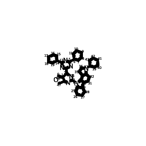 C1=C2C(c3nc(-c4ccccc4)nc(-c4ccccc4)n3)=NC(n3c4ccccc4c4ccc5c(ccn5-c5ccccc5)c43)=NC2CO1